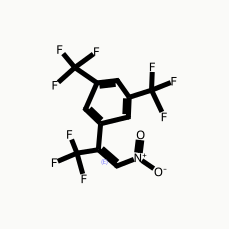 O=[N+]([O-])/C=C(\c1cc(C(F)(F)F)cc(C(F)(F)F)c1)C(F)(F)F